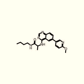 CCCCNC(=O)C(C)Nc1ncnc2ccc(-c3ccc(OC)nc3)cc12